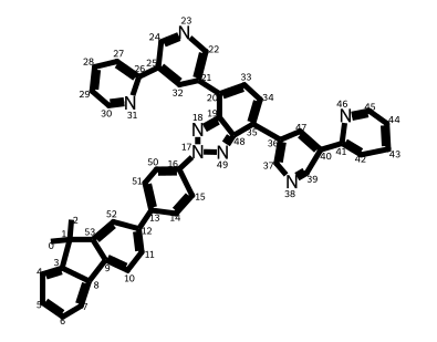 CC1(C)c2ccccc2-c2ccc(-c3ccc(-n4nc5c(-c6cncc(-c7ccccn7)c6)ccc(-c6cncc(-c7ccccn7)c6)c5n4)cc3)cc21